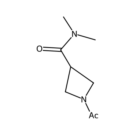 CC(=O)N1CC(C(=O)N(C)C)C1